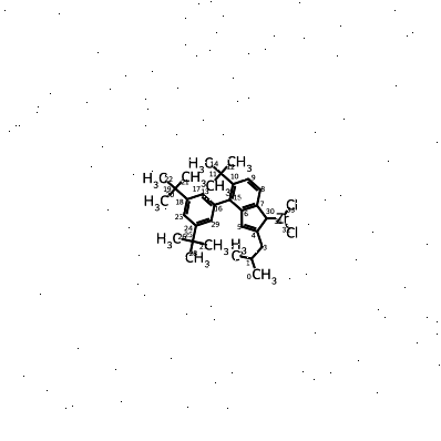 CC(C)CC1=Cc2c(ccc(C(C)(C)C)c2-c2cc(C(C)(C)C)cc(C(C)(C)C)c2)[CH]1[Zr]([Cl])[Cl]